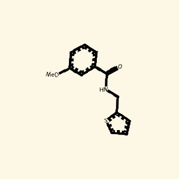 COc1cccc(C(=O)NCc2cccs2)c1